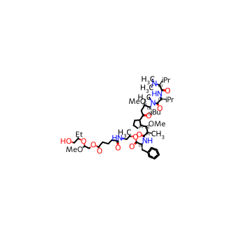 CCC(CO)OC(COC(=O)CCCC(=O)NCC(C)OC(=O)[C@H](Cc1ccccc1)NC(=O)[C@H](C)[C@@H](OC)[C@@H]1CCCC1C(=O)C[C@@H](OC)[C@H]([C@@H](C)CC)N(C)C(=O)[C@@H](NC(=O)[C@H](C(C)C)N(C)C)C(C)C)OC